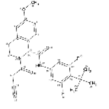 COc1ccc2c(c1)CCN(C(=O)CC#N)[C@H]2C(=O)Nc1cc(F)c(C(C)(C)C)c(F)c1